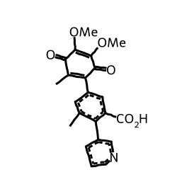 COC1=C(OC)C(=O)C(c2cc(C)c(-c3cccnc3)c(C(=O)O)c2)=C(C)C1=O